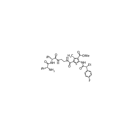 CCC(C(=O)Nc1sc(C(=O)NCCNC(=O)[C@@H](NC(=O)[C@@H](N)C(C)C)C(C)C)c(C)c1C(=O)OC)c1ccc(F)cc1